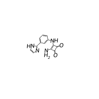 Nc1c(Nc2cccc(-c3ncc[nH]3)c2)c(=O)c1=O